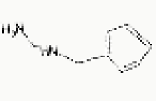 N[CH]NCc1ccccc1